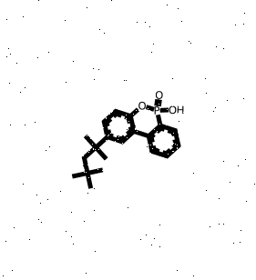 CC(C)(C)CC(C)(C)c1ccc2c(c1)-c1ccccc1P(=O)(O)O2